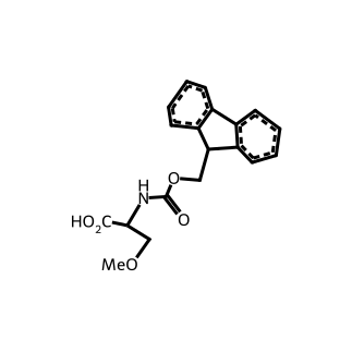 COCC(NC(=O)OCC1c2ccccc2-c2ccccc21)C(=O)O